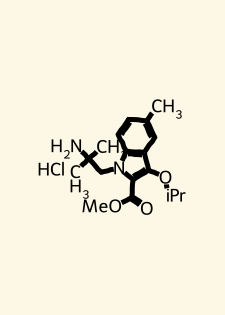 COC(=O)c1c(OC(C)C)c2cc(C)ccc2n1CC(C)(C)N.Cl